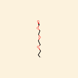 [CH2]CCOCCOCCOC=O